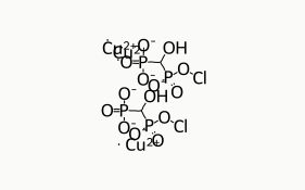 O=P([O-])([O-])C(O)P(=O)([O-])OCl.O=P([O-])([O-])C(O)P(=O)([O-])OCl.[Cu+2].[Cu+2].[Cu+2]